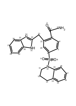 NC(=O)c1ccc(S(=O)(=O)N2CCCc3ccccc32)cc1Cc1nc2ccccc2[nH]1